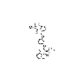 COC(=O)c1c(C)cccc1COc1cccc(OCc2c(-c3c(Cl)cccc3Cl)noc2C)c1